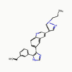 CNCCn1cc(-c2cnc3ccc(-c4nc[nH]c4-c4cccc(COC)c4)cc3c2)cn1